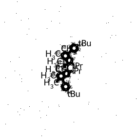 C[CH2][Zr]([Cl])([Cl])([CH]1C(C(C)C)=Cc2c(-c3ccc(C(C)(C)C)cc3)c(C)c(C)c(C)c21)[CH]1C(C(C)C)=Cc2c(-c3ccc(C(C)(C)C)cc3)c(C)c(C)c(C)c21